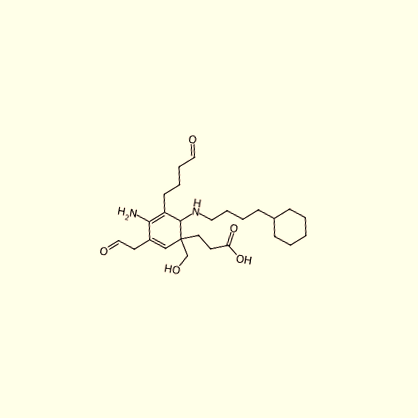 NC1=C(CCCC=O)C(NCCCCC2CCCCC2)C(CO)(CCC(=O)O)C=C1CC=O